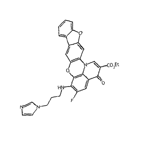 CCOC(=O)c1cn2c3c(c(NCCCn4ccnc4)c(F)cc3c1=O)Oc1cc3c(cc1-2)oc1ccccc13